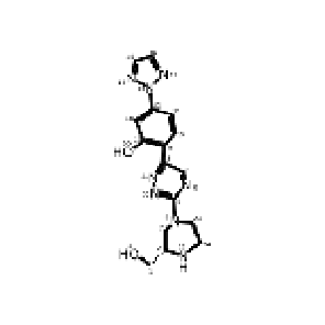 OC[C@@H]1CN(c2ncc(-c3ccc(-n4nccn4)cc3O)nn2)CCN1